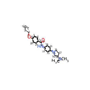 CC(C)CCOc1ccc(C(=O)Nc2ccc(N3CCC(N(C)C)C3)cc2)cc1